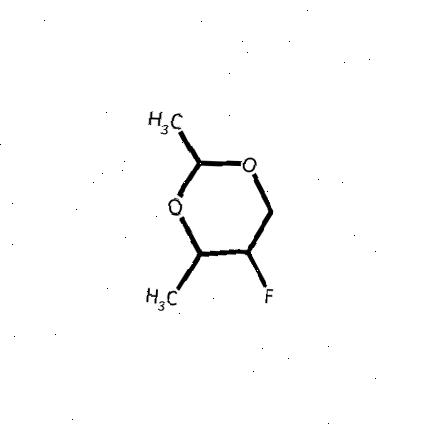 CC1OCC(F)C(C)O1